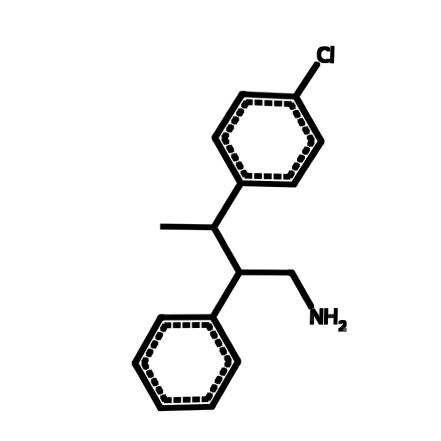 CC(c1ccc(Cl)cc1)C(CN)c1ccccc1